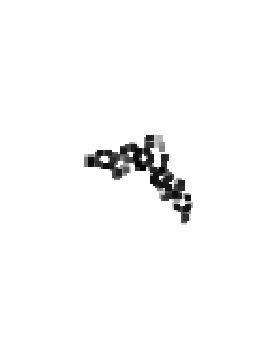 Cc1cc(-c2ccc(S(=O)(=O)N3CC[C@H](F)C3)cc2F)nc2c(F)c(N3CCNCC3=O)ccc12